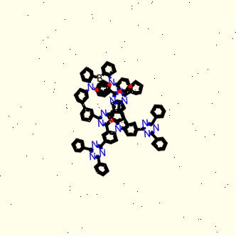 c1ccc(-c2cc(-c3cc(-c4nc(-c5ccccc5)nc(-c5ccccc5)n4)ccc3-n3c4ccc(-c5nc(-c6ccccc6)nc(-c6ccccc6)n5)cc4c4cc(-c5nc(-c6ccccc6)nc(-c6ccccc6)n5)ccc43)nc(-c3cccc(-c4cccc(N5c6ccccc6B6c7ccccc7N(c7ccccc7)c7cccc5c76)c4)c3)n2)cc1